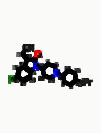 CC(C)[C@H]1CC[C@@H](N2CCC(N3C(=O)C(CC#N)c4cc(F)ccc43)CC2)CC1